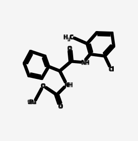 Cc1cccc(Cl)c1NC(=O)C(NC(=O)OC(C)(C)C)c1ccccc1